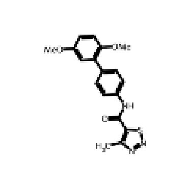 COc1ccc(OC)c(-c2ccc(NC(=O)c3snnc3C)cc2)c1